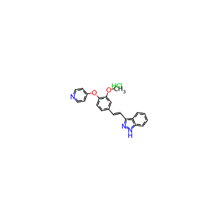 COc1cc(/C=C/c2n[nH]c3ccccc23)ccc1Oc1ccncc1.Cl